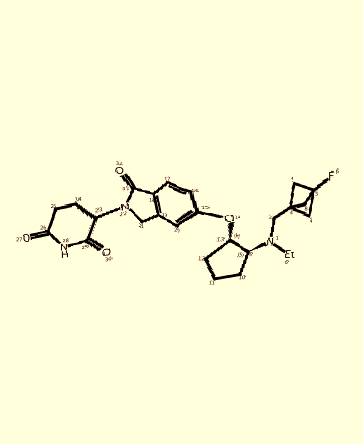 CCN(CC12CC(F)(C1)C2)[C@H]1CCC[C@H]1Oc1ccc2c(c1)CN(C1CCC(=O)NC1=O)C2=O